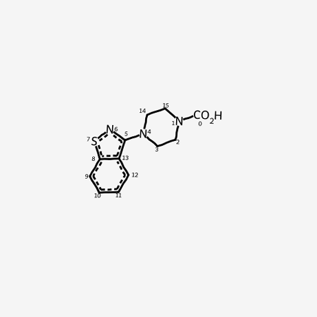 O=C(O)N1CCN(c2nsc3ccccc23)CC1